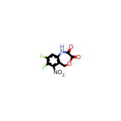 O=C1Nc2cc(F)c(F)c([N+](=O)[O-])c2COC1=O